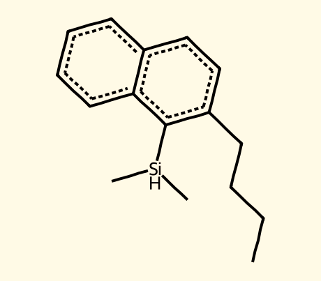 CCCCc1ccc2ccccc2c1[SiH](C)C